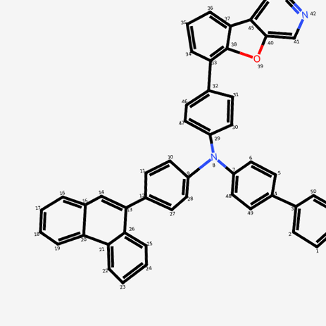 c1ccc(-c2ccc(N(c3ccc(-c4cc5ccccc5c5ccccc45)cc3)c3ccc(-c4cccc5c4oc4cnccc45)cc3)cc2)cc1